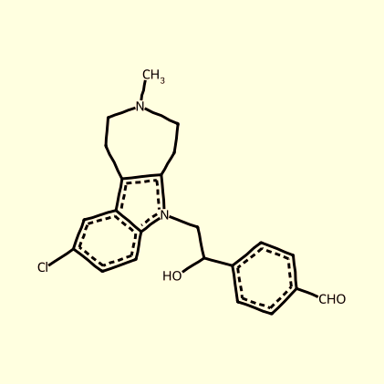 CN1CCc2c(n(CC(O)c3ccc(C=O)cc3)c3ccc(Cl)cc23)CC1